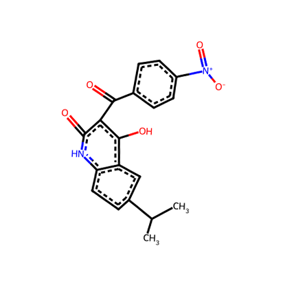 CC(C)c1ccc2[nH]c(=O)c(C(=O)c3ccc([N+](=O)[O-])cc3)c(O)c2c1